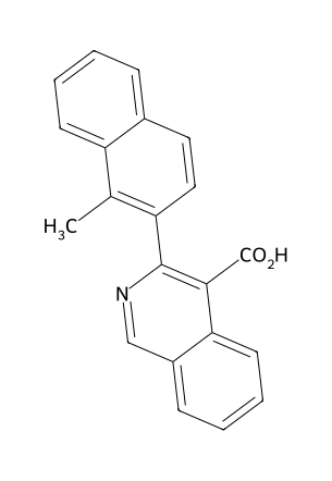 Cc1c(-c2ncc3ccccc3c2C(=O)O)ccc2ccccc12